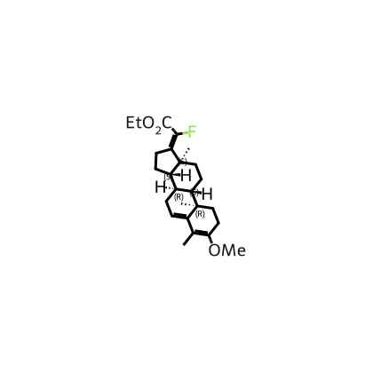 CCOC(=O)C(F)=C1CC[C@H]2[C@@H]3CC=C4C(C)=C(OC)CC[C@]4(C)[C@H]3CC[C@]12C